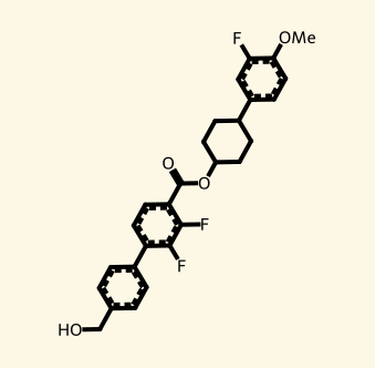 COc1ccc(C2CCC(OC(=O)c3ccc(-c4ccc(CO)cc4)c(F)c3F)CC2)cc1F